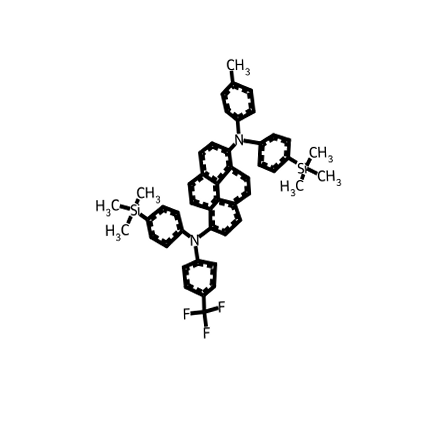 Cc1ccc(N(c2ccc([Si](C)(C)C)cc2)c2ccc3ccc4c(N(c5ccc(C(F)(F)F)cc5)c5ccc([Si](C)(C)C)cc5)ccc5ccc2c3c54)cc1